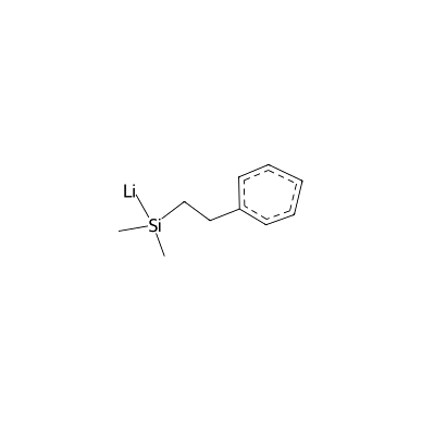 [Li][Si](C)(C)CCc1ccccc1